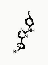 Fc1ccc(Nc2nccc(-c3ccc(Br)s3)n2)cc1